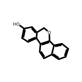 Oc1ccc2c(c1)COc1c-2ccc2ccccc12